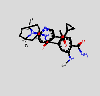 Cc1cc(C(N)=O)c(NC(C)(C)C)cc1C(=O)N[C@H]1C[C@H]2CC[C@@H](C1)N2c1ccc(C(=O)C2CC2)cn1